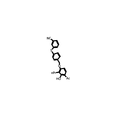 CCCc1c(OCc2ccc(Sc3cccc(C#N)c3)cc2)ccc(C(C)=O)c1O